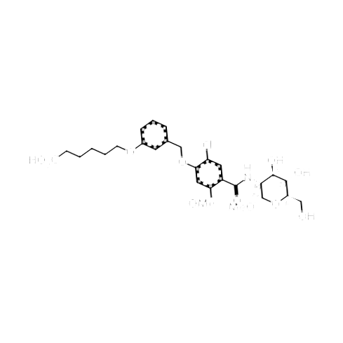 COc1cc(OCc2cccc(OCCCCCC(=O)O)c2)c(Cl)cc1C(=O)N[C@H]1[C@@H](OC)O[C@H](CO)[C@@H](O)[C@@H]1O